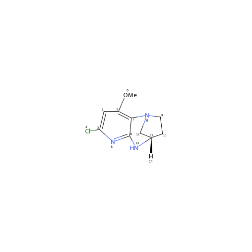 COc1cc(Cl)nc2c1N1CC[C@@H](C1)N2